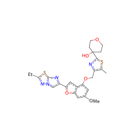 CCc1nn2cc(-c3cc4c(OCc5nc(C6(O)CCOCC6)sc5C)cc(OC)cc4o3)nc2s1